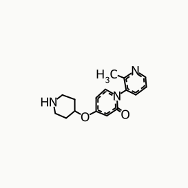 Cc1ncccc1-n1ccc(OC2CCNCC2)cc1=O